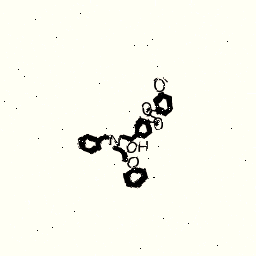 COc1cccc(S(=O)(=O)c2ccc(CCN(Cc3ccccc3)CC(O)COc3ccccc3)cc2)c1